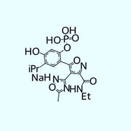 CCNC(=O)c1noc(-c2cc(C(C)C)c(O)cc2OP(=O)(O)O)c1-c1noc(C)n1.[NaH]